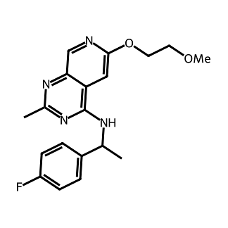 COCCOc1cc2c(NC(C)c3ccc(F)cc3)nc(C)nc2cn1